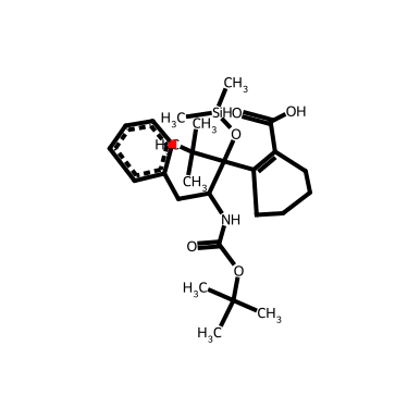 C[SiH](C)OC(C1=C(C(=O)O)CCCC1)(C(Cc1ccccc1)NC(=O)OC(C)(C)C)C(C)(C)C